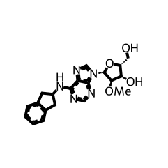 CO[C@@H]1[C@H](O)[C@@H](CO)O[C@H]1n1cnc2c(NC3Cc4ccccc4C3)ncnc21